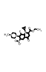 CCOC(=O)c1cc(=O)c2cc([N+](=O)[O-])c(N3CCN(C)CC3)c(F)c2n1C1CC1